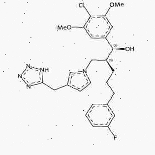 COc1cc([C@@H](O)[C@@H](CCCc2cccc(F)c2)Cn2ccc(Cc3nnn[nH]3)c2)cc(OC)c1Cl